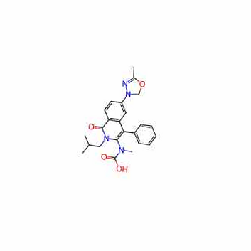 CC1=NN(c2ccc3c(=O)n(CC(C)C)c(N(C)C(=O)O)c(-c4ccccc4)c3c2)CO1